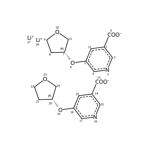 O=C([O-])c1cncc(O[C@@H]2CCOC2)c1.O=C([O-])c1cncc(O[C@@H]2CCOC2)c1.[Li+].[Li+]